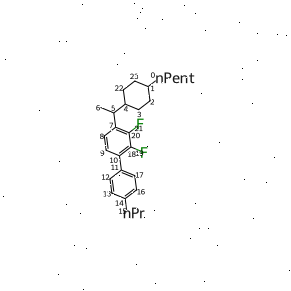 CCCCCC1CCC(C(C)c2ccc(-c3ccc(CCC)cc3)c(F)c2F)CC1